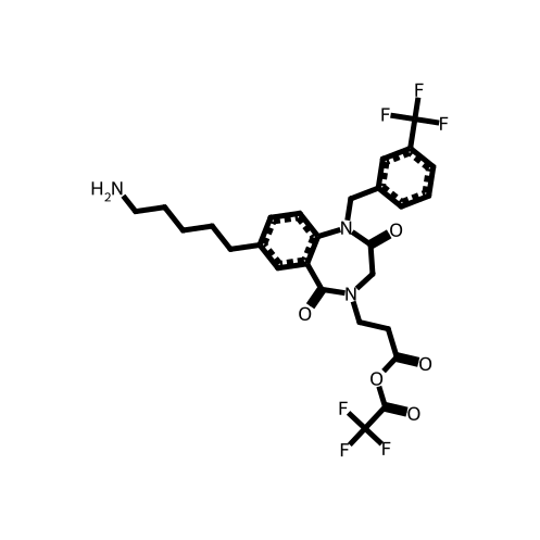 NCCCCCc1ccc2c(c1)C(=O)N(CCC(=O)OC(=O)C(F)(F)F)CC(=O)N2Cc1cccc(C(F)(F)F)c1